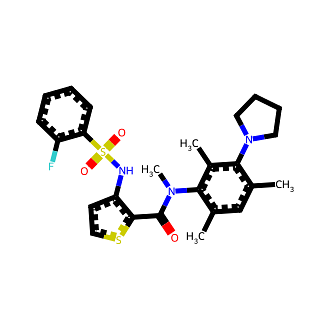 Cc1cc(C)c(N(C)C(=O)c2sccc2NS(=O)(=O)c2ccccc2F)c(C)c1N1CCCC1